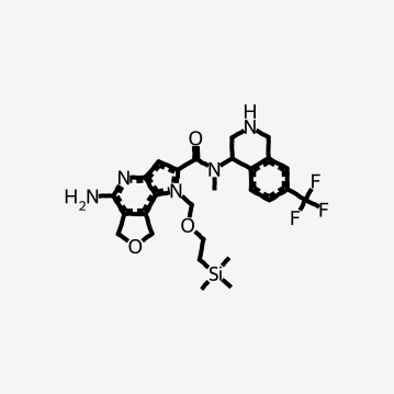 CN(C(=O)c1cc2nc(N)c3c(c2n1COCC[Si](C)(C)C)COC3)C1CNCc2cc(C(F)(F)F)ccc21